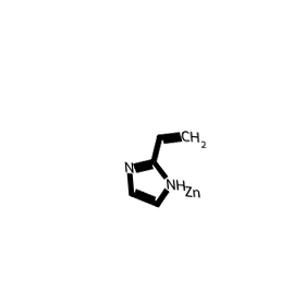 C=Cc1ncc[nH]1.[Zn]